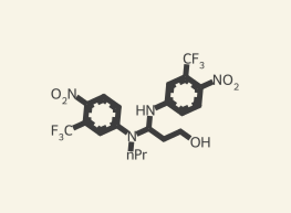 CCCN(c1ccc([N+](=O)[O-])c(C(F)(F)F)c1)C(CCO)Nc1ccc([N+](=O)[O-])c(C(F)(F)F)c1